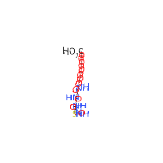 O=C(O)CCOCCOCCOCCOCCOCCOCCOCCOCCNC(=O)CCCCCNC(=O)CCCCCNC(=O)CCCCC1SCC2NC(=O)NC21